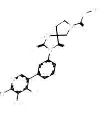 CNc1ncc(-c2cccc(N3C(=O)NC4(CCN(C(=O)OC(C)(C)C)C4)C3=O)c2)c(Cl)c1C